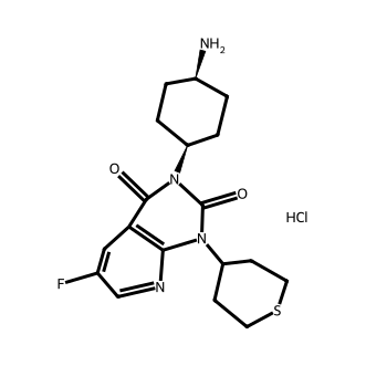 Cl.N[C@H]1CC[C@@H](n2c(=O)c3cc(F)cnc3n(C3CCSCC3)c2=O)CC1